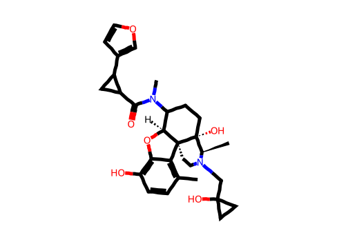 Cc1ccc(O)c2c1[C@]13CCN(CC4(O)CC4)[C@H](C)[C@]1(O)CCC(N(C)C(=O)C1CC1c1ccoc1)[C@@H]3O2